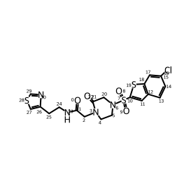 O=C(CN1CCN(S(=O)(=O)c2cc3ccc(Cl)cc3s2)CC1=O)NCCc1cscn1